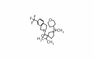 CC(C)[C@]1(C(=O)N2CCc3ccc(C(F)(F)F)cc3C2)CC[C@@H](N(C)C2CCOCC2)C1